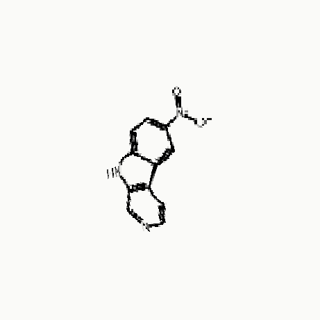 O=[N+]([O-])c1ccc2[nH]c3cnccc3c2c1